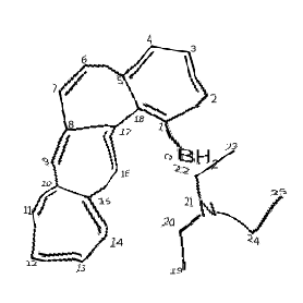 Bc1cccc2ccc3cc4ccccc4cc3c12.CCN(CC)CC